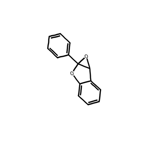 c1ccc(C23Oc4ccccc4C2O3)cc1